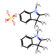 CC1=[N+](C)c2ccccc2C1(C)C.CC1=[N+](C)c2ccccc2C1(C)C.O=S(=O)([O-])[O-]